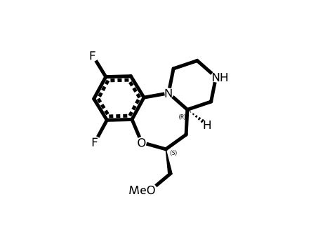 COC[C@@H]1C[C@@H]2CNCCN2c2cc(F)cc(F)c2O1